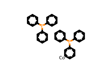 [Co].c1ccc(P(c2ccccc2)c2ccccc2)cc1.c1ccc(P(c2ccccc2)c2ccccc2)cc1